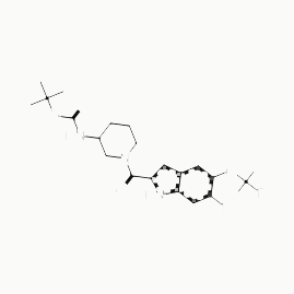 CC(C)(C)OC(=O)NC1CCCN(C(=O)c2cc3cc(OC(F)(F)F)c(F)cc3[nH]2)C1